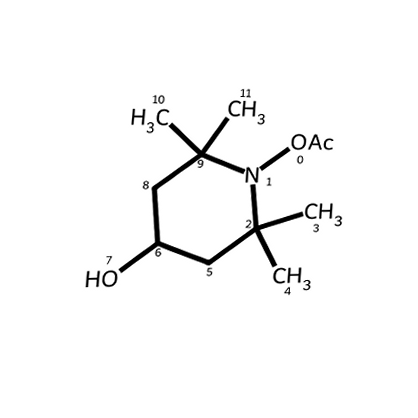 CC(=O)ON1C(C)(C)CC(O)CC1(C)C